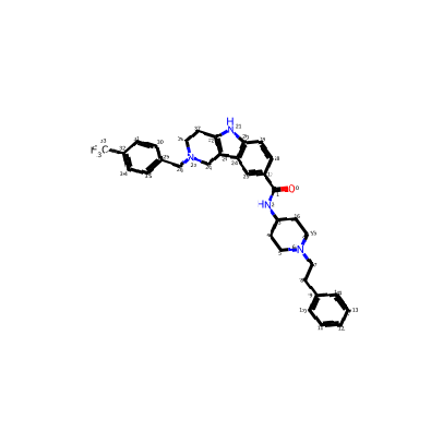 O=C(NC1CCN(CCc2ccccc2)CC1)c1ccc2[nH]c3c(c2c1)CN(Cc1ccc(C(F)(F)F)cc1)CC3